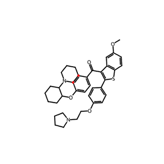 COc1ccc2sc(-c3ccc(OCCN4CCCC4)cc3)c(C(=O)c3ccc(OC4CCCCC4N4CCCCC4)cc3)c2c1